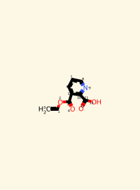 C=COC(=O)c1cccnc1C(=O)O